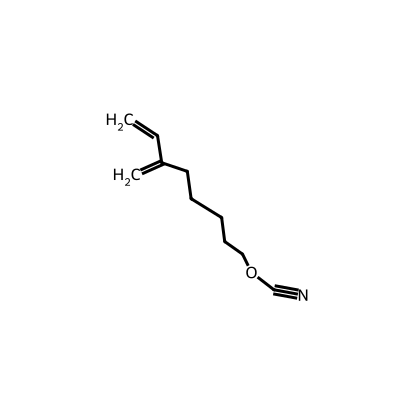 C=CC(=C)CCCCCOC#N